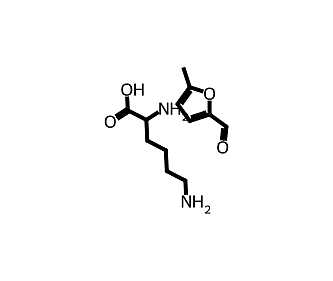 Cc1ccc(C=O)o1.NCCCCC(N)C(=O)O